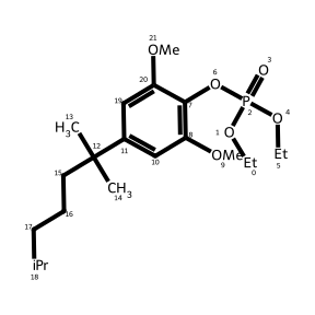 CCOP(=O)(OCC)Oc1c(OC)cc(C(C)(C)CCCC(C)C)cc1OC